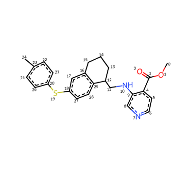 COC(=O)c1ccncc1NCC1CCCc2cc(Sc3ccc(C)cc3)ccc21